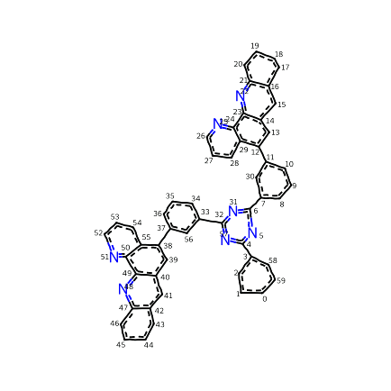 c1ccc(-c2nc(-c3cccc(-c4cc5cc6ccccc6nc5c5ncccc45)c3)nc(-c3cccc(-c4cc5cc6ccccc6nc5c5ncccc45)c3)n2)cc1